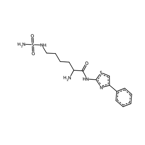 NC(CCCCNS(N)(=O)=O)C(=O)Nc1nc(-c2ccccc2)cs1